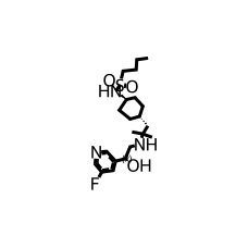 CCCCS(=O)(=O)N[C@H]1CC[C@H](CC(C)(C)NC[C@H](O)c2cncc(F)c2)CC1